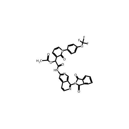 CC(=O)OC(C(=O)Nc1cc2ccnc(N3C(=O)c4ccccc4C3=O)c2cn1)c1cccn(-c2ccc(OC(F)(F)F)cc2)c1=O